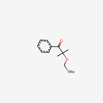 CSCOC(C)(C)C(=O)c1ccccc1